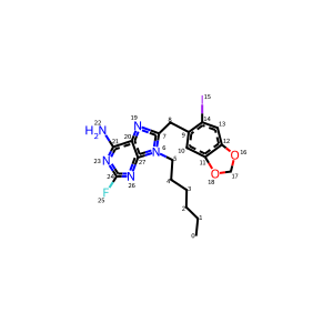 CCCCCCn1c(Cc2cc3c(cc2I)OCO3)nc2c(N)nc(F)nc21